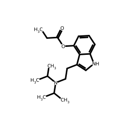 CCC(=O)Oc1cccc2[nH]cc(CCN(C(C)C)C(C)C)c12